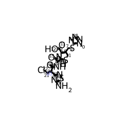 Cn1nnnc1SCC1=C(C(=O)O)N2C(=O)C(NC(=O)/C(=C\Cl)c3nsc(N)n3)[C@@H]2SC1